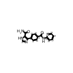 NC(=O)c1[nH]cnc1-c1ccc(C(=O)Nc2ccccn2)cc1